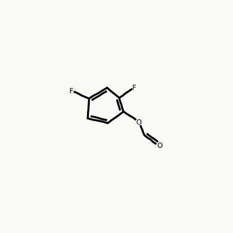 O=COc1ccc(F)cc1F